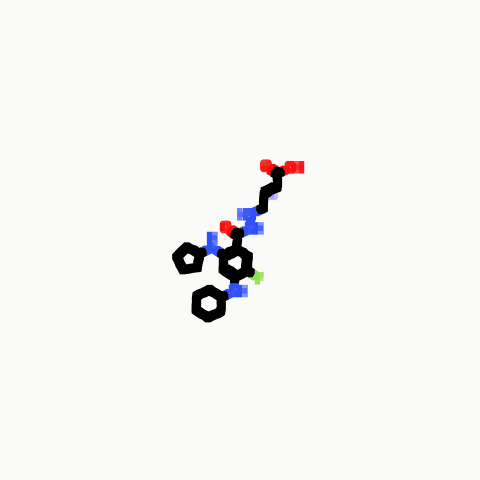 O=C(O)/C=C/CNNC(=O)c1cc(F)c(NC2CCCCC2)cc1NC1CCCC1